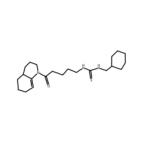 O=C(CCCCNC(=S)NCC1CCCCC1)N1CCCC2CCCC=C21